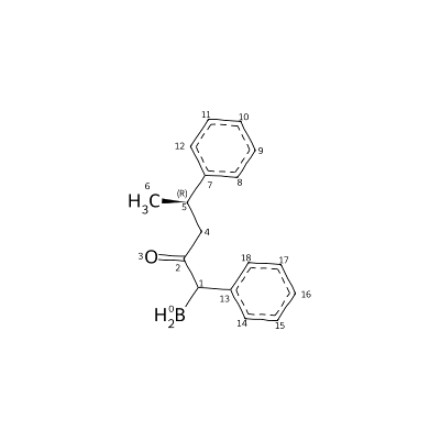 BC(C(=O)C[C@@H](C)c1ccccc1)c1ccccc1